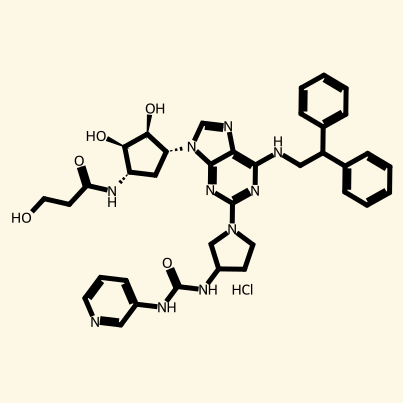 Cl.O=C(CCO)N[C@H]1C[C@@H](n2cnc3c(NCC(c4ccccc4)c4ccccc4)nc(N4CCC(NC(=O)Nc5cccnc5)C4)nc32)[C@H](O)[C@@H]1O